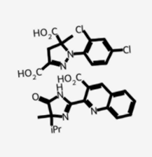 CC(C)C1(C)N=C(c2nc3ccccc3cc2C(=O)O)NC1=O.CC1(C(=O)O)CC(C(=O)O)=NN1c1ccc(Cl)cc1Cl